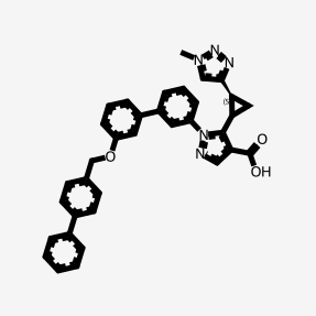 Cn1cc([C@H]2CC2c2c(C(=O)O)cnn2-c2cccc(-c3cccc(OCc4ccc(-c5ccccc5)cc4)c3)c2)nn1